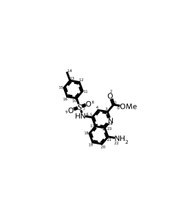 COC(=O)c1cc(NS(=O)(=O)c2ccc(C)cc2)c2cccc(N)c2n1